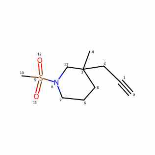 C#CCC1(C)CCCN(S(C)(=O)=O)C1